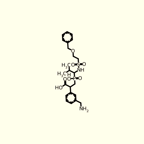 CC(C)C(NS(=O)(=O)CCOCc1ccccc1)P(=O)(O)CC(C(=O)O)c1cccc(CN)c1